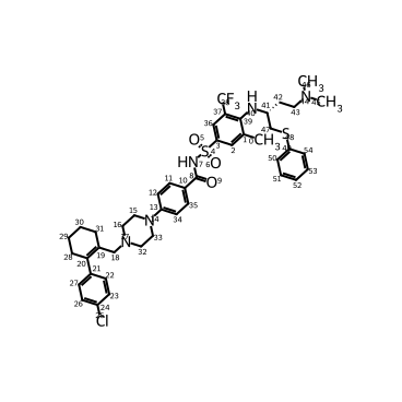 Cc1cc(S(=O)(=O)NC(=O)c2ccc(N3CCN(CC4=C(c5ccc(Cl)cc5)CCCC4)CC3)cc2)cc(C(F)(F)F)c1N[C@H](CCN(C)C)CSc1ccccc1